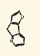 c1cnc2c(c1)-c1occc1C2